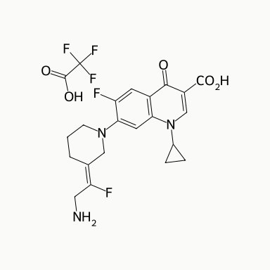 NCC(F)=C1CCCN(c2cc3c(cc2F)c(=O)c(C(=O)O)cn3C2CC2)C1.O=C(O)C(F)(F)F